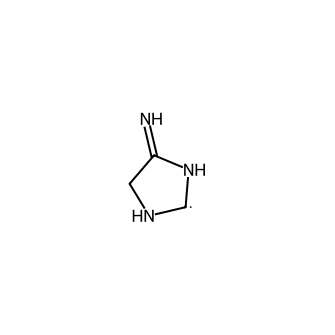 N=C1CN[CH]N1